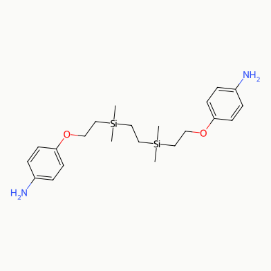 C[Si](C)(CCOc1ccc(N)cc1)CC[Si](C)(C)CCOc1ccc(N)cc1